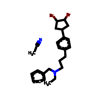 CC#N.CCN(CCCc1ccc(C2CC(Br)C(Br)C2)cc1)Cc1ccccc1